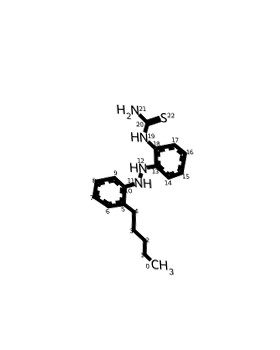 CCCCCc1ccccc1NNc1ccccc1NC(N)=S